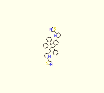 c1ccc(C2(c3ccccc3)c3cc(-c4cccc(-c5cncs5)n4)ccc3-c3c2cc(-c2cccc(-c4cncs4)n2)c2ccccc32)cc1